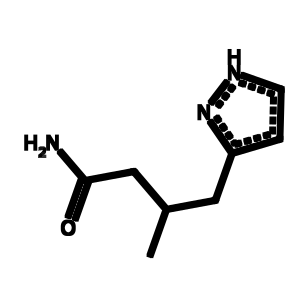 CC(CC(N)=O)Cc1cc[nH]n1